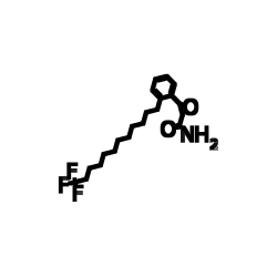 NC(=O)C1OC1c1ccccc1CCCCCCCCCCCC(F)(F)F